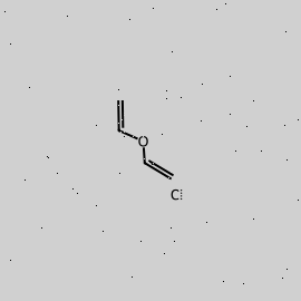 C=COC=C.[C]